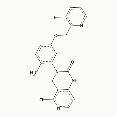 Cc1ccc(OCc2ncccc2F)cc1N1Cc2c(Cl)ncnc2NC1=O